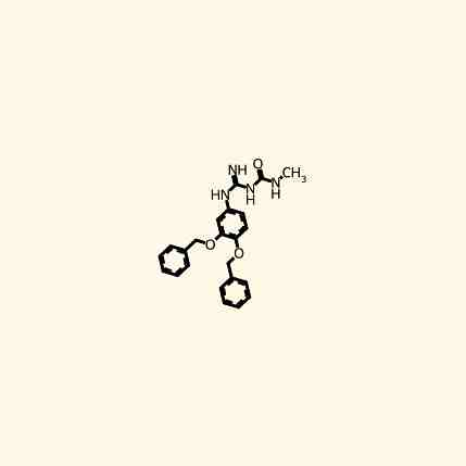 CNC(=O)NC(=N)Nc1ccc(OCc2ccccc2)c(OCc2ccccc2)c1